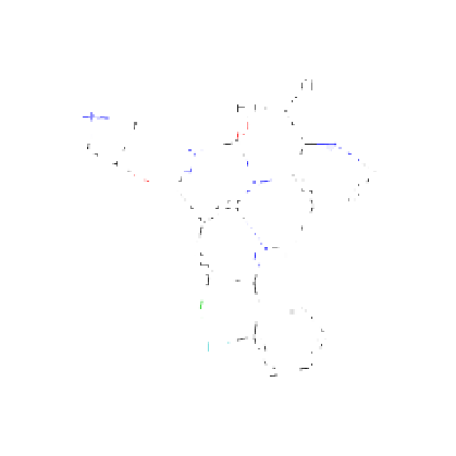 Cc1ccnc(C(C)C)c1-n1c(=O)nc(OC2CNC2)c2cc(Cl)c(-c3ccccc3F)nc21